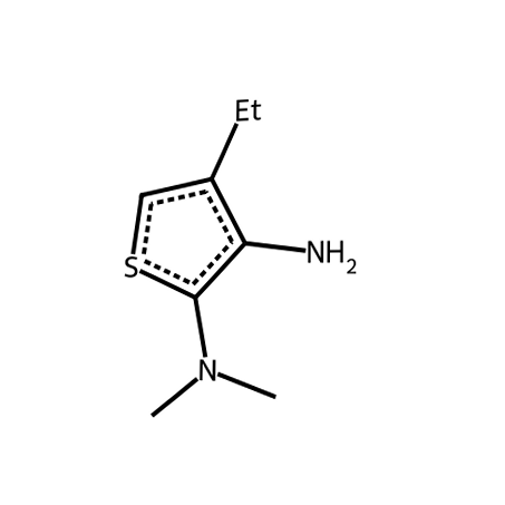 CCc1csc(N(C)C)c1N